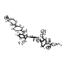 CS(=O)(=O)c1ccc(NCC#Cc2sc3c(NC4CCC(N5CCS(=O)(=O)CC5)CC4)cccc3c2CC(F)(F)F)c(OCC#N)c1